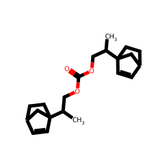 CC(COC(=O)OCC(C)C12C=CC(CC1)C2)C12C=CC(CC1)C2